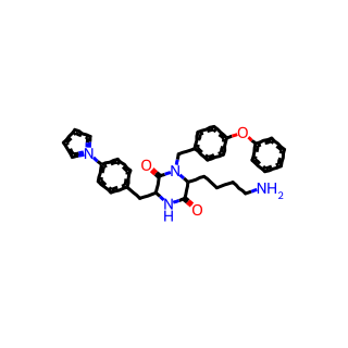 NCCCCC1C(=O)NC(Cc2ccc(-n3cccc3)cc2)C(=O)N1Cc1ccc(Oc2ccccc2)cc1